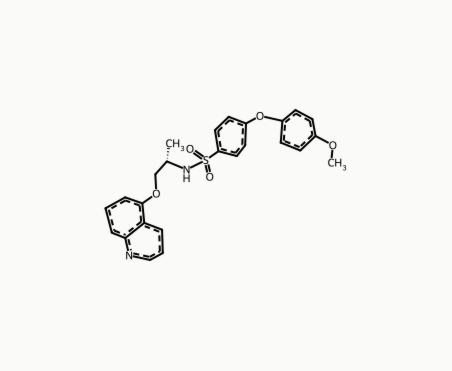 COc1ccc(Oc2ccc(S(=O)(=O)N[C@@H](C)COc3cccc4ncccc34)cc2)cc1